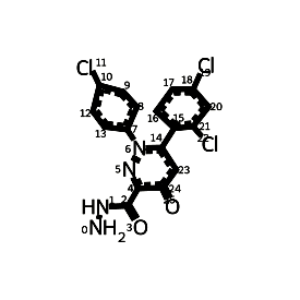 NNC(=O)c1nn(-c2ccc(Cl)cc2)c(-c2ccc(Cl)cc2Cl)cc1=O